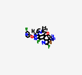 Cc1c(N)sc2c(F)cnc(-c3c4c(c5c(N(C)C)nc(OC[C@@]67CCCN6C[C@H](F)C7)nc5c3F)COC4)c12